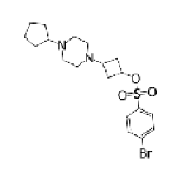 O=S(=O)(OC1CC(N2CCN(C3CCCC3)CC2)C1)c1ccc(Br)cc1